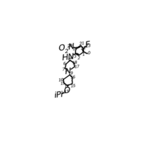 Cc1cc(NC2CCN([C@H]3CC[C@H](OC(C)C)CC3)CC2)c([N+](=O)[O-])cc1F